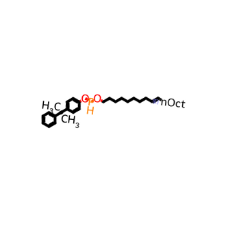 CCCCCCCC/C=C/CCCCCCCCOPOc1ccc(C(C)(C)c2ccccc2)cc1